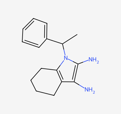 CC(c1ccccc1)n1c(N)c(N)c2c1CCCC2